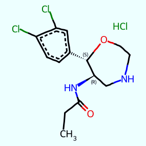 CCC(=O)N[C@@H]1CNCCO[C@H]1c1ccc(Cl)c(Cl)c1.Cl